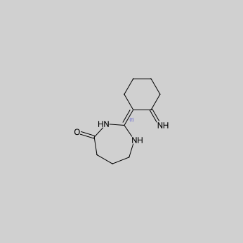 N=C1CCCC/C1=C1/NCCCC(=O)N1